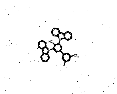 Cc1cc(-c2cc(-n3c4ccccc4c4ccccc43)c(C#N)c(-n3c4ccccc4c4ccccc43)c2)cc(C(F)(F)F)c1